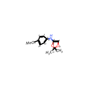 COc1ccc(NC2=COC(C)(C)O2)cc1